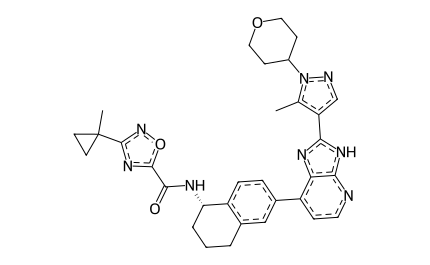 Cc1c(-c2nc3c(-c4ccc5c(c4)CCC[C@@H]5NC(=O)c4nc(C5(C)CC5)no4)ccnc3[nH]2)cnn1C1CCOCC1